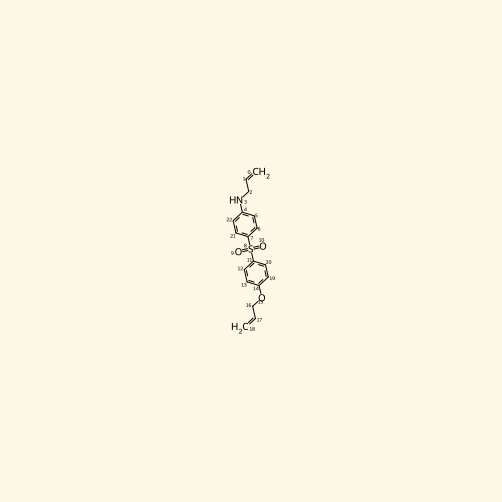 C=CCNc1ccc(S(=O)(=O)c2ccc(OCC=C)cc2)cc1